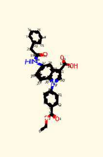 CCOC(=O)c1ccc(-n2cc(C(=O)O)c3cc(NC(=O)Cc4ccccc4)ccc32)cc1